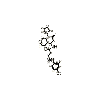 C=C(CC(NC(=O)CC/C(C)=N/c1ccc(CC)cc1C)C1CCOCC1)CN1CCCC1